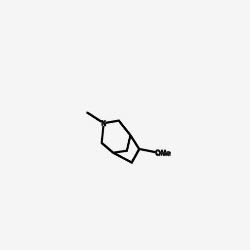 COC1CC2CC1CN(C)C2